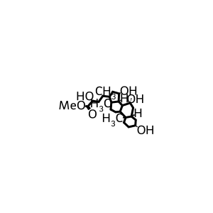 COC(=O)[C@H](O)C[C@@H](C)C1C[C@H](O)[C@H]2C3C(CC[C@]12C)[C@@]1(C)CC[C@@H](O)C[C@H]1C[C@H]3O